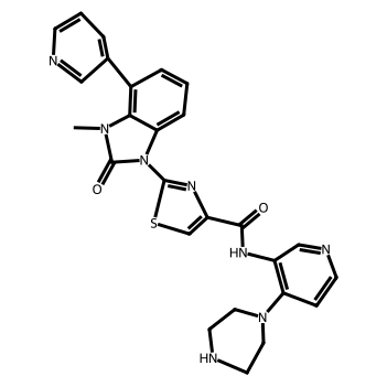 Cn1c(=O)n(-c2nc(C(=O)Nc3cnccc3N3CCNCC3)cs2)c2cccc(-c3cccnc3)c21